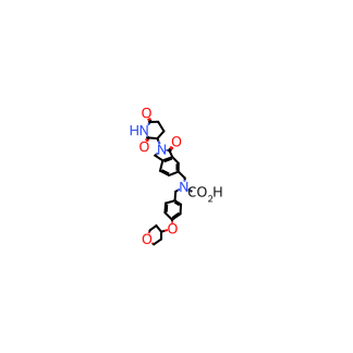 O=C1CCC(N2Cc3ccc(CN(Cc4ccc(OC5CCOCC5)cc4)C(=O)O)cc3C2=O)C(=O)N1